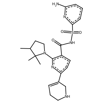 CC1CCN(c2nc(C3=CCCNC3)ccc2C(=O)NS(=O)(=O)c2cccc(N)n2)C1(C)C